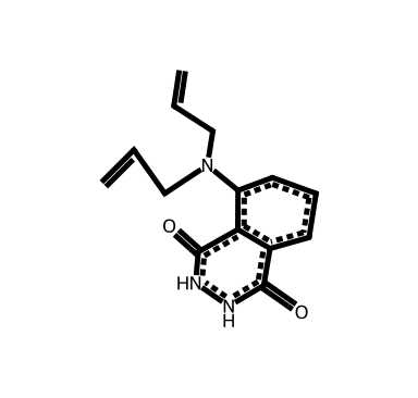 C=CCN(CC=C)c1cccc2c(=O)[nH][nH]c(=O)c12